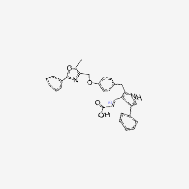 Cc1oc(-c2ccccc2)nc1COc1ccc(Cc2[nH]cc(-c3ccccc3)c2/C=C/C(=O)O)cc1